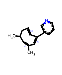 CC1=C/C(C)C/C=C/C(c2cccnc2)=C\1